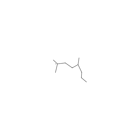 CCCC(C)CC[C](C)C